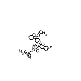 CCOC(=O)C1(C2CCCCC2)CCN(C(=O)[C@@H](Cc2ccc(F)cc2)NC(=O)NCCc2cncn2C)CC1